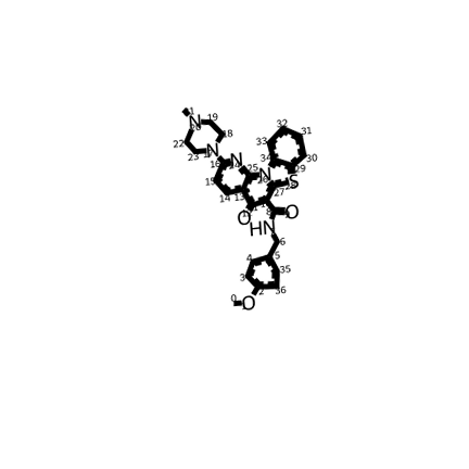 COc1ccc(CNC(=O)c2c(=O)c3ccc(N4CCN(C)CC4)nc3n3c2sc2ccccc23)cc1